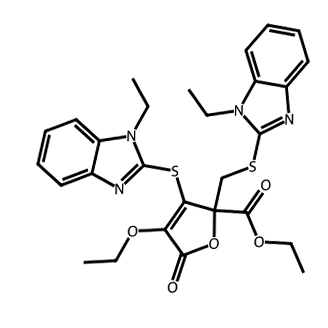 CCOC(=O)C1(CSc2nc3ccccc3n2CC)OC(=O)C(OCC)=C1Sc1nc2ccccc2n1CC